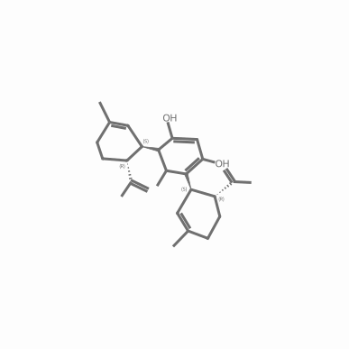 C=C(C)[C@@H]1CCC(C)=C[C@H]1C1=C(O)C=C(O)C([C@@H]2C=C(C)CC[C@H]2C(=C)C)C1C